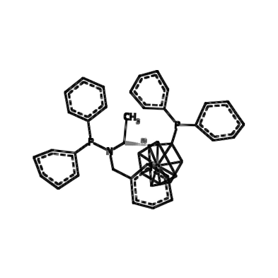 CC(N(Cc1ccccc1)P(c1ccccc1)c1ccccc1)[C@]12[CH]3[CH]4[CH]5[C]1(P(c1ccccc1)c1ccccc1)[Fe]45321678[CH]2[CH]1[CH]6[CH]7[CH]28